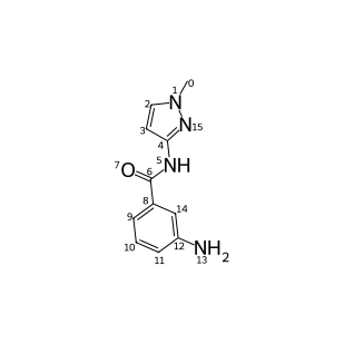 Cn1ccc(NC(=O)c2cccc(N)c2)n1